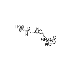 O=C(CCCc1cnc2ccc(CCCNC(=O)ON3C(=O)CCC3O)cc2c1)NCCS(=O)(=O)O